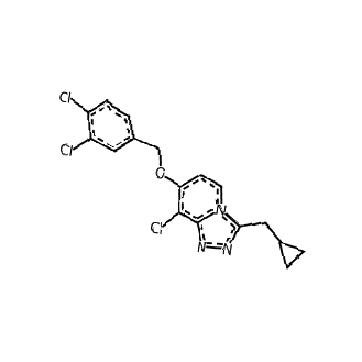 Clc1ccc(COc2ccn3c(CC4CC4)nnc3c2Cl)cc1Cl